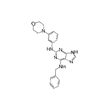 c1ccc(CNc2nc(Nc3cccc(N4CCOCC4)c3)nc3[nH]cnc23)cc1